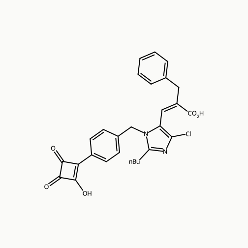 CCCCc1nc(Cl)c(C=C(Cc2ccccc2)C(=O)O)n1Cc1ccc(-c2c(O)c(=O)c2=O)cc1